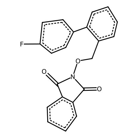 O=C1c2ccccc2C(=O)N1OCc1ccccc1-c1ccc(F)cc1